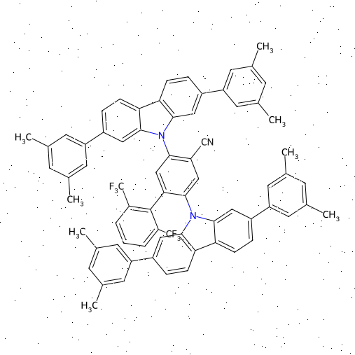 Cc1cc(C)cc(-c2ccc3c4ccc(-c5cc(C)cc(C)c5)cc4n(-c4cc(-c5c(C(F)(F)F)cccc5C(F)(F)F)c(-n5c6cc(-c7cc(C)cc(C)c7)ccc6c6ccc(-c7cc(C)cc(C)c7)cc65)cc4C#N)c3c2)c1